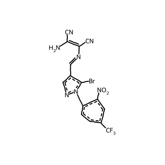 N#CC(N)=C(C#N)N=Cc1cnn(-c2ccc(C(F)(F)F)cc2[N+](=O)[O-])c1Br